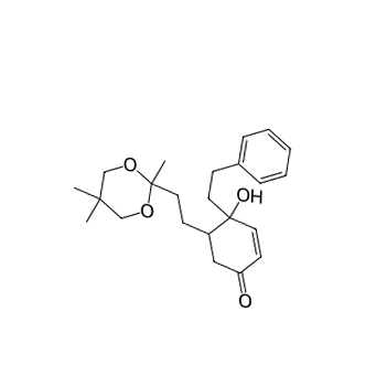 CC1(C)COC(C)(CCC2CC(=O)C=CC2(O)CCc2ccccc2)OC1